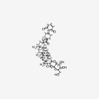 CC1(C)[C@@H](O[C@@H]2O[C@H](CO)[C@@H](O)[C@H](O)[C@H]2O)CC[C@]2(C)[C@H]3CC=C4[C@@H]5C[C@@](C)(C(=O)N6CCN(c7c(Cl)cccc7Cl)CC6)CC[C@]5(C)CC[C@@]4(C)[C@]3(C)CC[C@@H]12